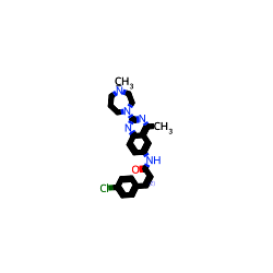 Cc1nc(N2CCCN(C)CC2)nc2ccc(NC(=O)/C=C\c3ccc(Cl)cc3)cc12